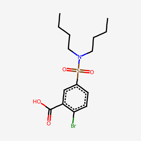 CCCCN(CCCC)S(=O)(=O)c1ccc(Br)c(C(=O)O)c1